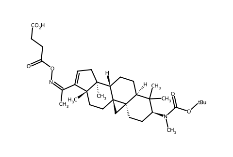 C/C(=N/OC(=O)CCC(=O)O)C1=CC[C@@]2(C)[C@@H]3CC[C@H]4C(C)(C)[C@@H](N(C)C(=O)OC(C)(C)C)CC[C@@]45C[C@@]35CC[C@]12C